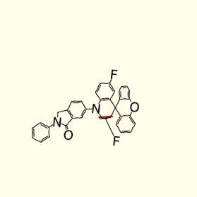 O=C1c2cc(N3c4ccc(F)cc4C4(c5ccccc5Oc5ccccc54)c4cc(F)ccc43)ccc2CN1c1ccccc1